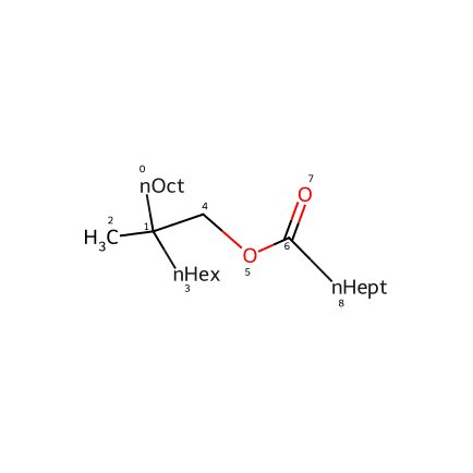 CCCCCCCCC(C)(CCCCCC)COC(=O)CCCCCCC